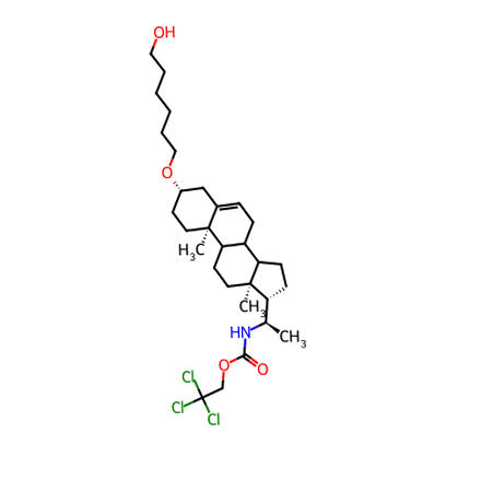 C[C@@H](NC(=O)OCC(Cl)(Cl)Cl)[C@H]1CCC2C3CC=C4C[C@@H](OCCCCCCO)CC[C@]4(C)C3CC[C@@]21C